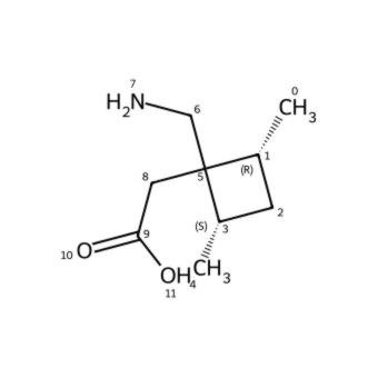 C[C@@H]1C[C@H](C)C1(CN)CC(=O)O